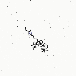 CC/C(C)=N/CCC[Si](C)(O[Si](C)(C)C)O[Si](C)(C)O[Si](C)(C)C